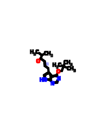 CC(C)C(=O)/C=C/Cc1c[nH]c2ncnc(OCC(C)(C)C)c12